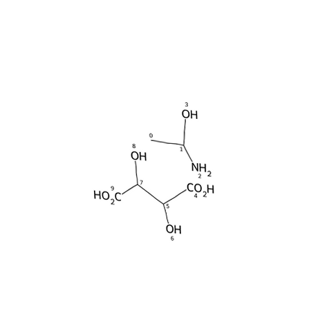 CC(N)O.O=C(O)C(O)C(O)C(=O)O